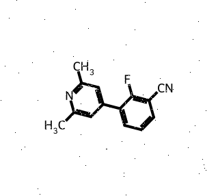 Cc1cc(-c2cccc(C#N)c2F)cc(C)n1